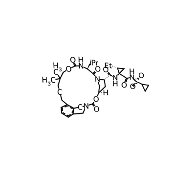 CC[C@@H]1C[C@]1(NC(=O)[C@@H]1C[C@@H]2CN1C(=O)[C@H](C(C)C)NC(=O)OCC(C)(C)CCCc1cccc3c1CN(C3)C(=O)O2)C(=O)NS(=O)(=O)C1CC1